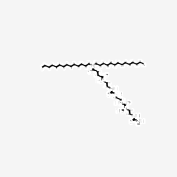 CCCCCCCCCCCCCCN(CCCCCCCCCCCCCC)C(=O)CCC(=O)NCCNC(=S)NCCNC(=O)N(S)CCNC(=S)NC